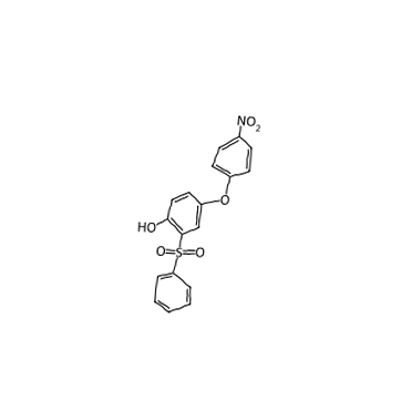 O=[N+]([O-])c1ccc(Oc2ccc(O)c(S(=O)(=O)c3ccccc3)c2)cc1